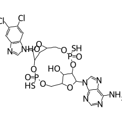 Nc1ncnc2c1ncn2C1OC2COP(=O)(S)OC3C(O)C(COP(=O)(S)OC1C2O)OC3n1cnc2cc(Cl)c(Cl)cc21